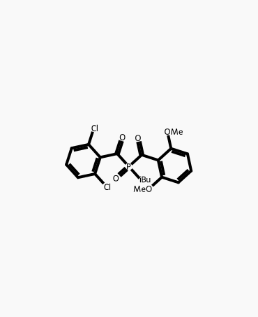 CCC(C)P(=O)(C(=O)c1c(Cl)cccc1Cl)C(=O)c1c(OC)cccc1OC